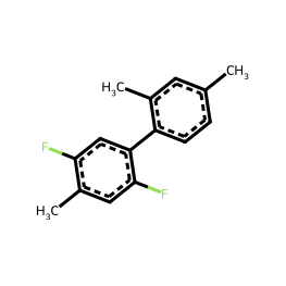 Cc1ccc(-c2cc(F)c(C)cc2F)c(C)c1